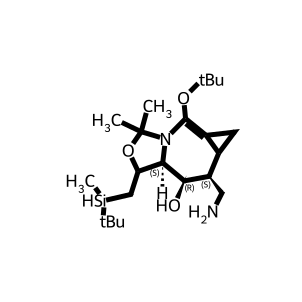 C[SiH](CC1OC(C)(C)N2C(OC(C)(C)C)=C3CC3[C@@H](CN)[C@@H](O)[C@@H]12)C(C)(C)C